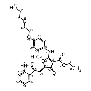 CCOC(=O)C1=C(Nc2ccc(OCCOCCO)cc2C)O/C(=C\c2c[nH]c3ncccc23)C1=O